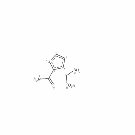 NC(=O)c1cccs1.NCC(=O)O